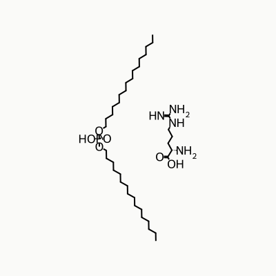 CCCCCCCCCCCCCCCCOP(=O)(O)OCCCCCCCCCCCCCCCC.N=C(N)NCCC[C@H](N)C(=O)O